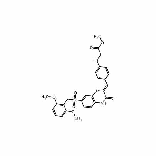 COC(=O)CNc1ccc(C=C2Sc3cc(S(=O)(=O)Cc4c(OC)cccc4OC)ccc3NC2=O)cc1